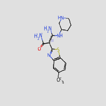 NC(=O)/C(=C(\N)NC1CCCNC1)c1nc2cc(C(F)(F)F)ccc2s1